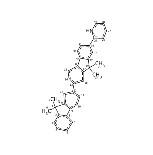 CC1(C)c2ccccc2-c2ccc(-c3ccc4c(c3)C(C)(C)c3cc(-c5ccccn5)ccc3-4)cc21